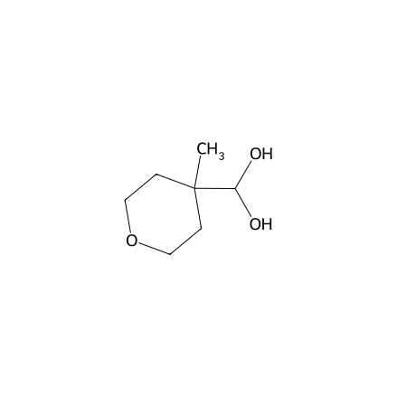 CC1(C(O)O)CCOCC1